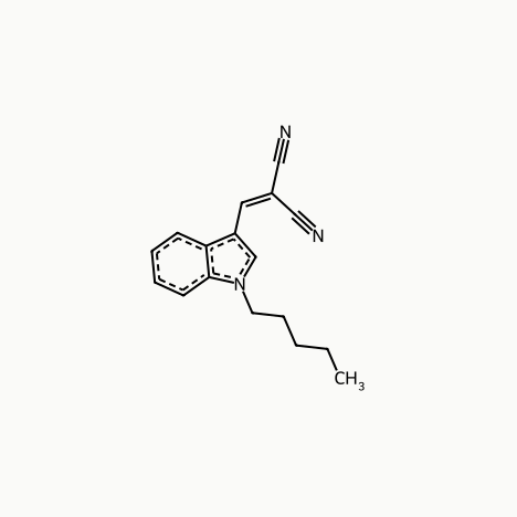 CCCCCn1cc(C=C(C#N)C#N)c2ccccc21